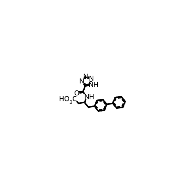 O=C(O)CC(Cc1ccc(-c2ccccc2)cc1)NC(=O)c1nnn[nH]1